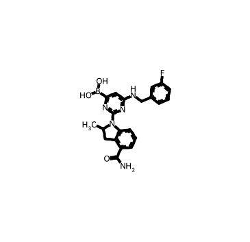 CC1Cc2c(C(N)=O)cccc2N1c1nc(NCc2cccc(F)c2)cc(B(O)O)n1